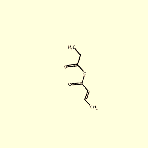 CC=CC(=O)OC(=O)CC